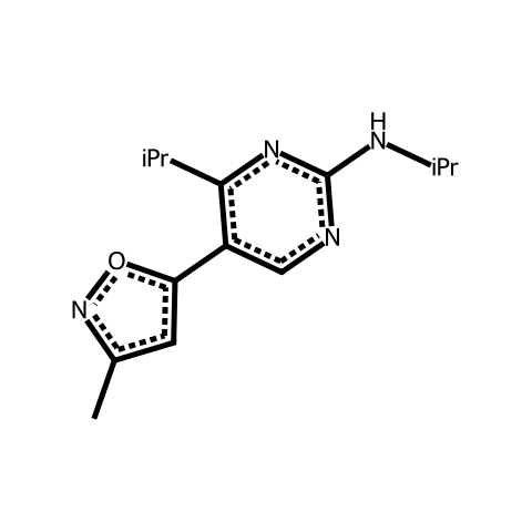 Cc1cc(-c2cnc(NC(C)C)nc2C(C)C)on1